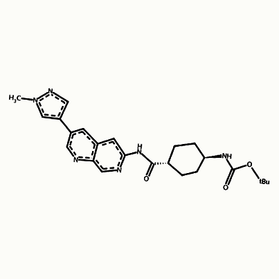 Cn1cc(-c2cnc3cnc(NC(=O)[C@H]4CC[C@H](NC(=O)OC(C)(C)C)CC4)cc3c2)cn1